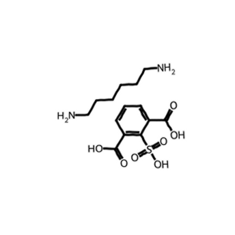 NCCCCCCN.O=C(O)c1cccc(C(=O)O)c1S(=O)(=O)O